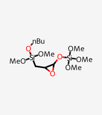 CCCCO[Si](CC1OC1O[Si](OC)(OC)OC)(OC)OC